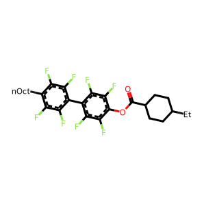 CCCCCCCCc1c(F)c(F)c(-c2c(F)c(F)c(OC(=O)C3CCC(CC)CC3)c(F)c2F)c(F)c1F